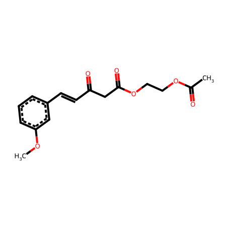 COc1cccc(C=CC(=O)CC(=O)OCCOC(C)=O)c1